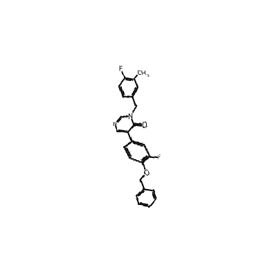 Cc1cc(Cn2cncc(-c3ccc(OCc4ccccc4)c(F)c3)c2=O)ccc1F